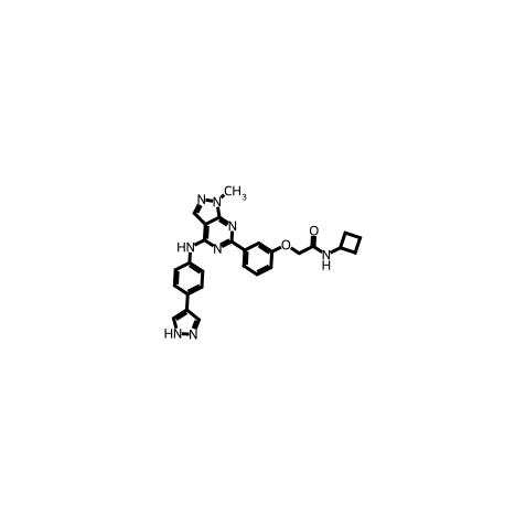 Cn1ncc2c(Nc3ccc(-c4cn[nH]c4)cc3)nc(-c3cccc(OCC(=O)NC4CCC4)c3)nc21